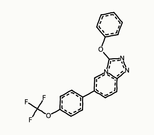 FC(F)(F)Oc1ccc(-c2ccc3nnc(Oc4ccccc4)n3c2)cc1